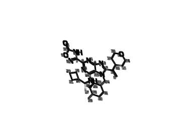 C=C(c1nc2nc(-c3noc(=O)[nH]3)nc(N[C@H](C)C3CCC3)c2n1CC1CCC(C)CC1)C1CCOCC1